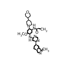 C=CC(=O)Nc1cc(Nc2cc(-c3ccc4cnn(C)c4c3)ncn2)c(OC)cc1N1CCC(C2CCOCC2)CC1